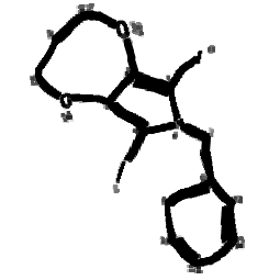 Ic1c2c(c(I)n1Cc1ccccc1)OCCCO2